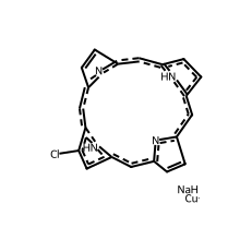 Clc1cc2cc3nc(cc4ccc(cc5nc(cc1[nH]2)C=C5)[nH]4)C=C3.[Cu].[NaH]